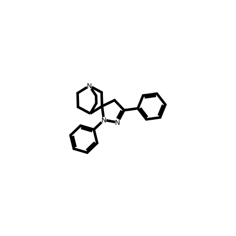 c1ccc(C2=NN(c3ccccc3)C3(C2)CN2CCC3CC2)cc1